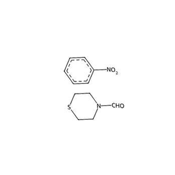 O=CN1CCSCC1.O=[N+]([O-])c1ccccc1